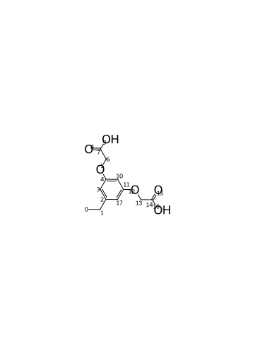 CCc1cc(OCC(=O)O)cc(OCC(=O)O)c1